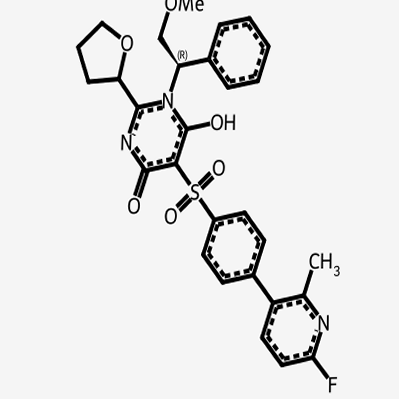 COC[C@@H](c1ccccc1)n1c(C2CCCO2)nc(=O)c(S(=O)(=O)c2ccc(-c3ccc(F)nc3C)cc2)c1O